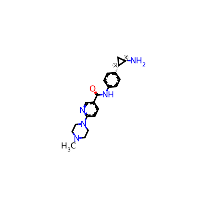 CN1CCN(c2ccc(C(=O)Nc3ccc([C@@H]4C[C@H]4N)cc3)cn2)CC1